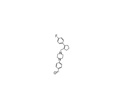 O=[C]c1ccc(N2CCN(CC3=C(c4ccc(F)cc4)CCC3)CC2)cc1